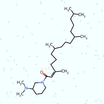 CC(=CC(=O)N1CCCC(N(C)C)C1)CCCC(C)CCCC(C)CCCC(C)C